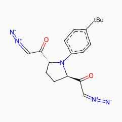 CC(C)(C)c1ccc(N2[C@@H](C(=O)C=[N+]=[N-])CC[C@@H]2C(=O)C=[N+]=[N-])cc1